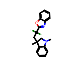 CN1CC(C)(CC(F)(F)c2nc3ccccc3o2)c2ccccc21